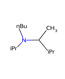 CCCCN(C(C)C)C(C)C(C)C